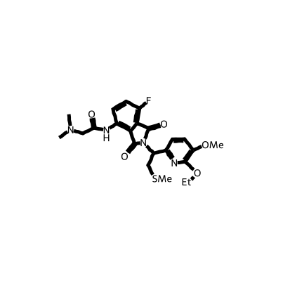 CCOc1nc(C(CSC)N2C(=O)c3c(F)ccc(NC(=O)CN(C)C)c3C2=O)ccc1OC